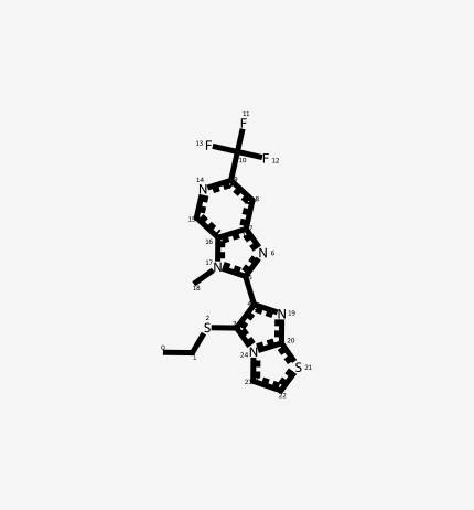 CCSc1c(-c2nc3cc(C(F)(F)F)ncc3n2C)nc2sccn12